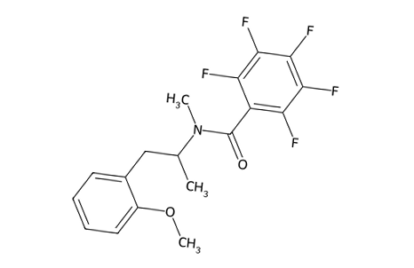 COc1ccccc1CC(C)N(C)C(=O)c1c(F)c(F)c(F)c(F)c1F